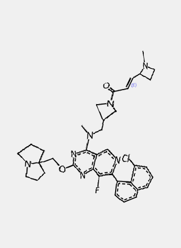 CN(CC1CN(C(=O)/C=C/C2CCN2C)C1)c1nc(OCC23CCCN2CCC3)nc2c(F)c(-c3cccc4cccc(Cl)c34)ncc12